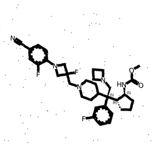 COC(=O)N[C@H]1CCC[C@@H]1[C@](CN1CCC1)(c1cccc(F)c1)C1CCN(CC2(F)CN(c3ccc(C#N)cc3F)C2)CC1